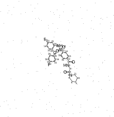 O=C(NCC(=O)N1CCCCC1)c1ccc(S(=O)(=O)Nc2cc(F)ccc2Oc2ccc(F)cc2)cc1